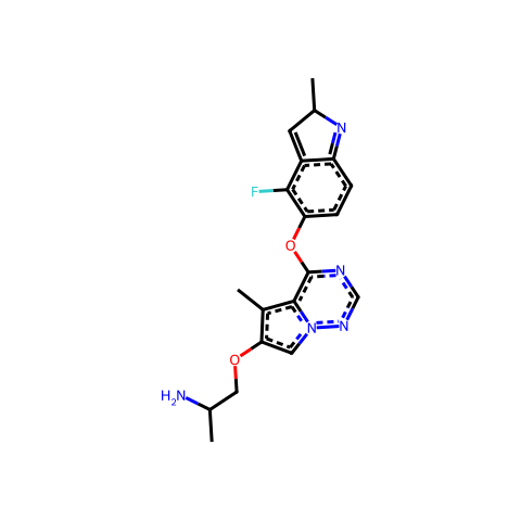 Cc1c(OCC(C)N)cn2ncnc(Oc3ccc4c(c3F)=CC(C)N=4)c12